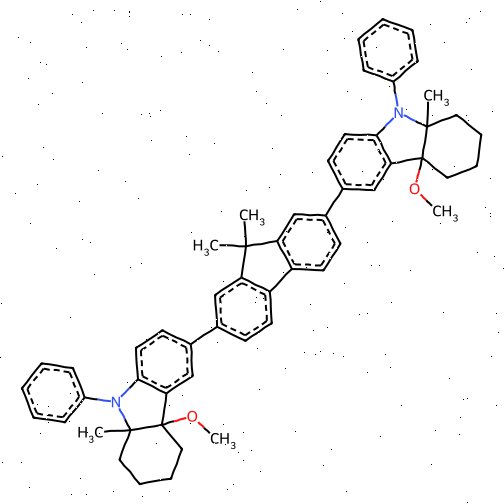 COC12CCCCC1(C)N(c1ccccc1)c1ccc(-c3ccc4c(c3)C(C)(C)c3cc(-c5ccc6c(c5)C5(OC)CCCCC5(C)N6c5ccccc5)ccc3-4)cc12